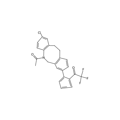 CC(=O)N1Cc2cc(-c3ccccc3C(=O)C(F)(F)F)ccc2CCc2cc(Cl)ccc21